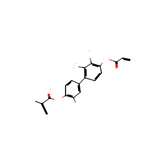 C=CC(=O)Oc1ccc(-c2ccc(OC(=O)C(=C)C)c(F)c2)c(F)c1F